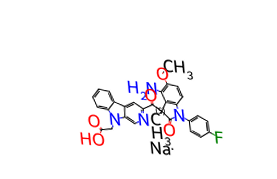 COc1ccc2c(c1N)[C@@](C)(C(=O)c1cc3c4ccccc4n(CC(=O)O)c3cn1)C(=O)N2c1ccc(F)cc1.[Na]